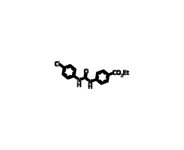 CCOC(=O)c1ccc(NC(=O)Nc2ccc(Cl)cc2)cc1